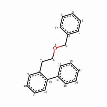 c1ccc(COCCc2ccccc2-c2ccccc2)cc1